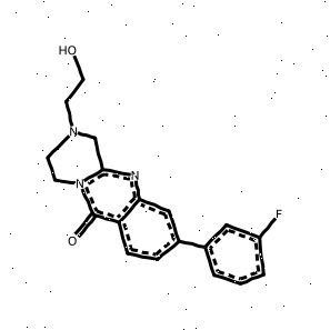 O=c1c2ccc(-c3cccc(F)c3)cc2nc2n1CCN(CCO)C2